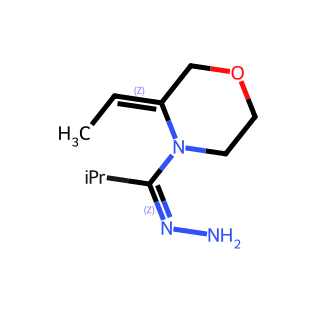 C/C=C1/COCCN1/C(=N\N)C(C)C